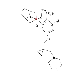 CCOC(=O)c1c(Cl)nc(OCC2(CN3CCOCC3)CC2)nc1N1CC2CCC(C1)N2C(=O)OC(C)(C)C